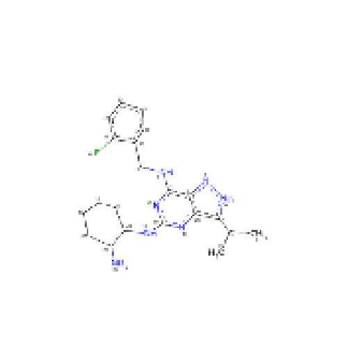 CC(C)c1[nH]nc2c(NCc3ccccc3F)nc(NC3CCCCC3N)nc12